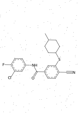 CC1CCC(Sc2cc(C(=O)Nc3ccc(F)c(Cl)c3)ccc2C#N)CC1